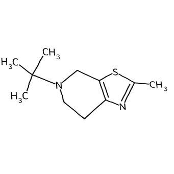 Cc1nc2c(s1)CN(C(C)(C)C)CC2